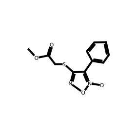 COC(=O)CSc1no[n+]([O-])c1-c1ccccc1